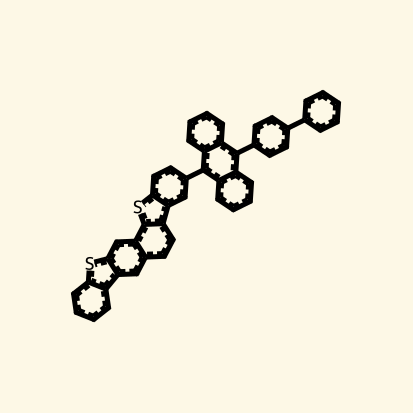 c1ccc(-c2ccc(-c3c4ccccc4c(-c4ccc5sc6c7cc8sc9ccccc9c8cc7ccc6c5c4)c4ccccc34)cc2)cc1